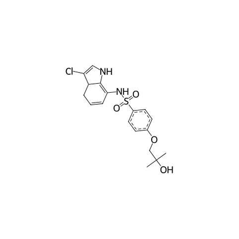 CC(C)(O)COc1ccc(S(=O)(=O)NC2=C3NC=C(Cl)C3CC=C2)cc1